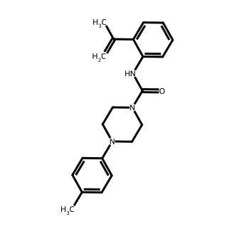 C=C(C)c1ccccc1NC(=O)N1CCN(c2ccc(C)cc2)CC1